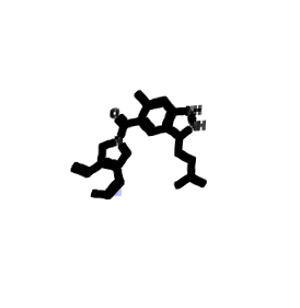 C=CC1=C(/C=C\C)CN(C(=O)c2cc3c(cc2C)NNC3CCC(C)C)C1